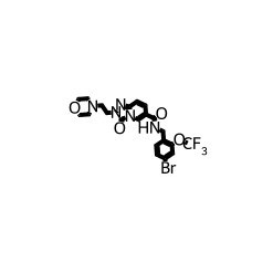 O=C(NCc1ccc(Br)cc1OC(F)(F)F)c1ccc2nn(CCN3CCOCC3)c(=O)n2c1